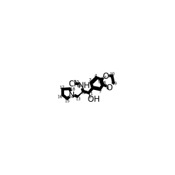 O[C@@H](c1ccc2c(c1)OCCO2)[C@@H](CN1CCCC1)NCl